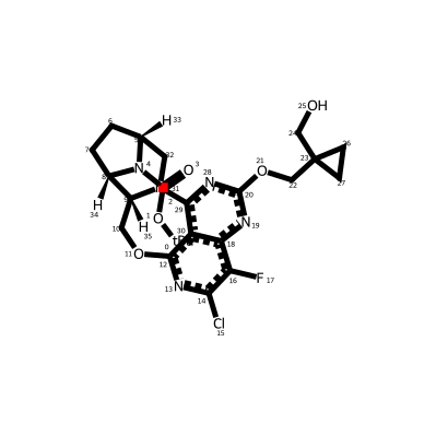 CC(C)(C)OC(=O)N1[C@@H]2CC[C@H]1[C@H]1COc3nc(Cl)c(F)c4nc(OCC5(CO)CC5)nc(c34)N1C2